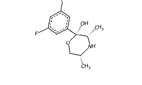 C[C@@H]1CO[C@@](O)(c2cc(F)cc(F)c2)[C@H](C)N1